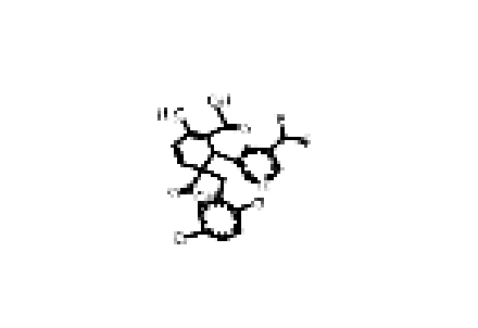 CC1=C(C(=O)O)C(c2cncc(C(F)F)c2)C(Cc2cc(Cl)ccc2Cl)(C(=O)O)C=C1